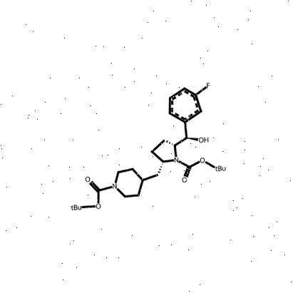 CC(C)(C)OC(=O)N1CCC(C[C@@H]2CC[C@H]([C@H](O)c3cccc(F)c3)N2C(=O)OC(C)(C)C)CC1